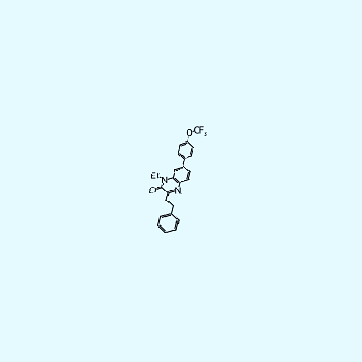 CCn1c(=O)c(CCc2ccccc2)nc2ccc(-c3ccc(OC(F)(F)F)cc3)cc21